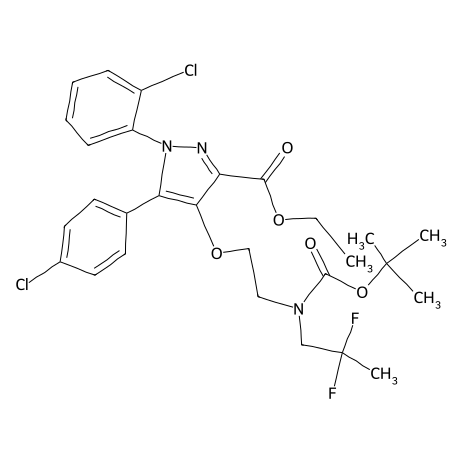 CCOC(=O)c1nn(-c2ccccc2Cl)c(-c2ccc(Cl)cc2)c1OCCN(CC(C)(F)F)C(=O)OC(C)(C)C